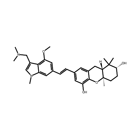 COc1cc(/C=C/c2cc(O)c3c(c2)C[C@@H]2C(C)(C)[C@H](O)CC[C@@]2(C)O3)cc2c1c(CN(C)C)cn2C